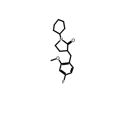 COc1cc(F)ccc1CC1CCN(C2CCCCC2)C1=O